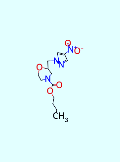 CCCCOC(=O)N1CCOC(Cn2cc([N+](=O)[O-])cn2)C1